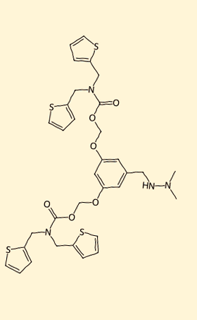 CN(C)NCc1cc(OCOC(=O)N(Cc2cccs2)Cc2cccs2)cc(OCOC(=O)N(Cc2cccs2)Cc2cccs2)c1